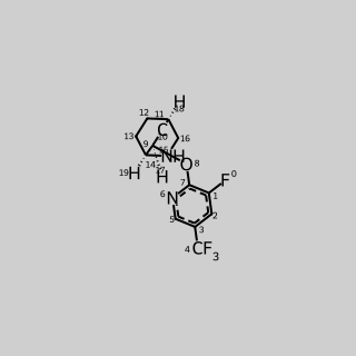 Fc1cc(C(F)(F)F)cnc1O[C@@H]1C[C@H]2CC[C@@H]1NC2